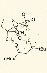 CC12CCC(C(S(=O)(=O)[O-])C1=O)C2(C)C.CCCCCCC(=O)C[S+](C)C(C)(C)C